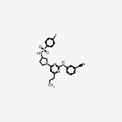 CCCc1cc(N2CCC(NS(=O)(=O)c3ccc(F)cc3)C2)nc(Nc2cccc(C#N)c2)n1